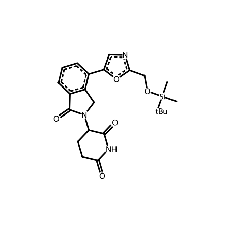 CC(C)(C)[Si](C)(C)OCc1ncc(-c2cccc3c2CN(C2CCC(=O)NC2=O)C3=O)o1